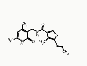 C/C=C/c1scc(C(=O)NCc2c(C)cc(C)[nH]c2=O)c1C